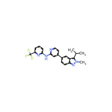 CC(C)c1c2cc(-c3ccnc(Nc4cccc(C(F)(F)F)n4)c3)ccc2nn1C